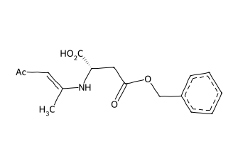 CC(=O)C=C(C)N[C@@H](CC(=O)OCc1ccccc1)C(=O)O